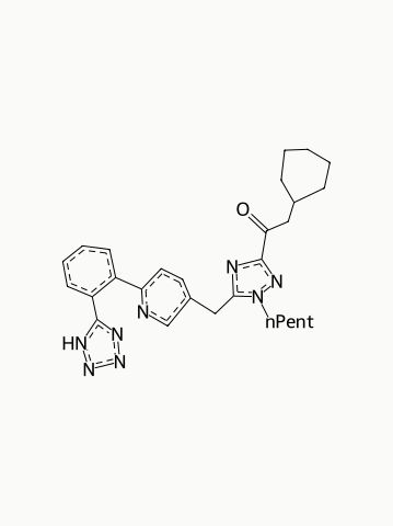 CCCCCn1nc(C(=O)CC2CCCCC2)nc1Cc1ccc(-c2ccccc2-c2nnn[nH]2)nc1